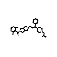 Cc1ncnc(C)c1C(=O)N1CC2CN(CCC(c3ccccc3)C3CCN(CC(F)F)CC3)CC2C1